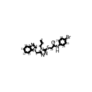 C=CCn1c(Cn2nnc3ccccc32)nnc1SCC(=O)Nc1ccc(Br)cc1